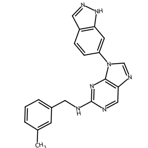 Cc1cccc(CNc2ncc3ncn(-c4ccc5cn[nH]c5c4)c3n2)c1